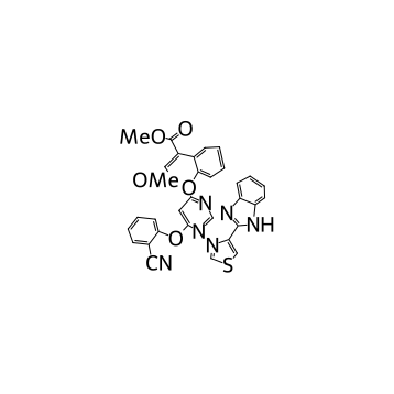 CO/C=C(/C(=O)OC)c1ccccc1Oc1cc(Oc2ccccc2C#N)ncn1.c1ccc2[nH]c(-c3cscn3)nc2c1